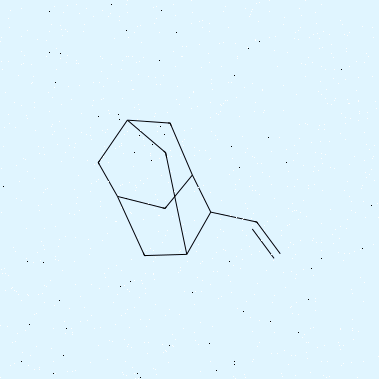 C=CC1C2CC3CC(C2)CC1C3